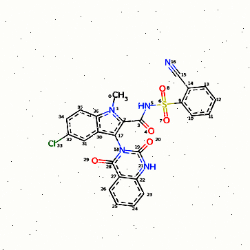 Cn1c(C(=O)NS(=O)(=O)c2ccccc2C#N)c(-n2c(=O)[nH]c3ccccc3c2=O)c2cc(Cl)ccc21